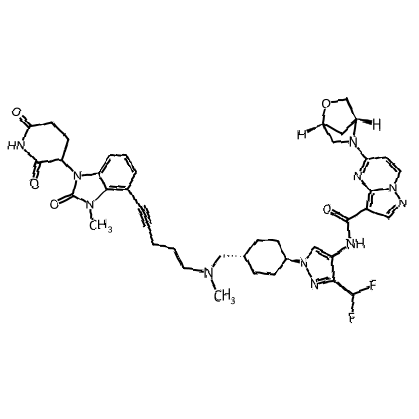 CN(CCCC#Cc1cccc2c1n(C)c(=O)n2C1CCC(=O)NC1=O)C[C@H]1CC[C@H](n2cc(NC(=O)c3cnn4ccc(N5C[C@H]6C[C@@H]5CO6)nc34)c(C(F)F)n2)CC1